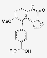 COc1ccc2[nH]c(=O)c3sccc3c2c1-c1ccc(C(O)C(F)(F)F)cc1